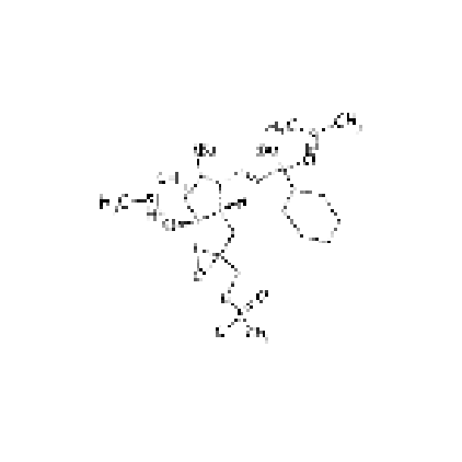 C[SiH](C)O[C@@]12C[C@@H](C(C)(C)C)[C@H](C=C[C@@](O[SiH](C)C)(C3CCCCC3)C(C)(C)C)[C@@H]1CC1(COS(C)(=O)=O)OC12